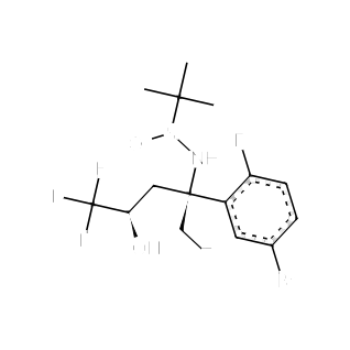 CC(C)(C)[S+]([O-])N[C@@](CF)(C[C@@H](O)C(F)(F)F)c1cc(Br)ccc1F